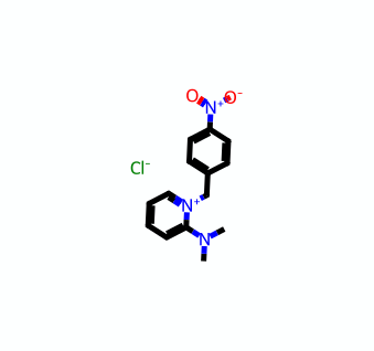 CN(C)c1cccc[n+]1Cc1ccc([N+](=O)[O-])cc1.[Cl-]